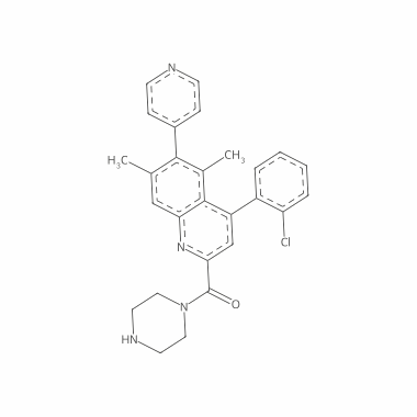 Cc1cc2nc(C(=O)N3CCNCC3)cc(-c3ccccc3Cl)c2c(C)c1-c1ccncc1